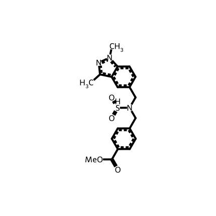 COC(=O)c1ccc(CN(Cc2ccc3c(c2)c(C)nn3C)[SH](=O)=O)cc1